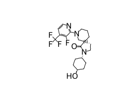 O=C1N([C@H]2CC[C@H](O)CC2)CC[C@]12CCCN(c1nccc(C(F)(F)F)c1F)C2